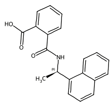 C[C@@H](NC(=O)c1ccccc1C(=O)O)c1cccc2ccccc12